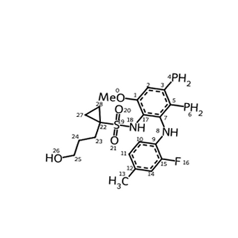 COc1cc(P)c(P)c(Nc2ccc(C)cc2F)c1NS(=O)(=O)C1(CCCO)CC1